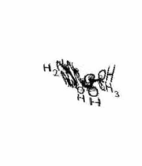 C[C@H](O)C1OC(n2cnc3c(N)ncnc32)C(O)C1O